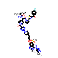 C=C(NC)C(=O)N[C@H](C(=O)N1CCC[C@H]1c1nc(C(=O)c2ccc(F)cc2)cs1)C1CCN(C(=O)c2cnc(N3CCC(CCCOc4cc5ncnc(Nc6n[nH]c(C)c6C)c5cc4S(=O)(=O)C(C)(C)C)CC3)nc2)CC1